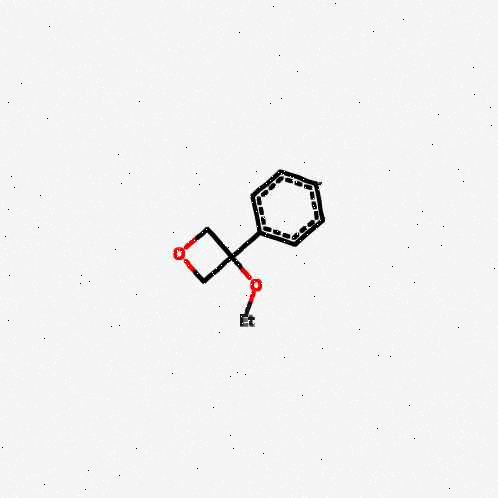 CCOC1(c2cc[c]cc2)COC1